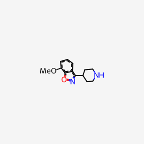 COc1cccc2c(C3CCNCC3)noc12